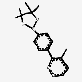 Cc1ccnnc1-c1ccc(B2OC(C)(C)C(C)(C)O2)cc1